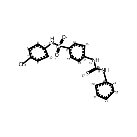 O=S(=O)(Nc1ccc(Cl)cc1)c1ccc(NC(=S)Nc2ccccc2)cc1